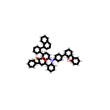 c1ccc(-c2cccc3ccccc23)c(-c2ccc(N(c3ccc(-c4cccc5c4oc4ccccc45)cc3)c3ccccc3-c3ccc4sc5ccccc5c4c3)cc2)c1